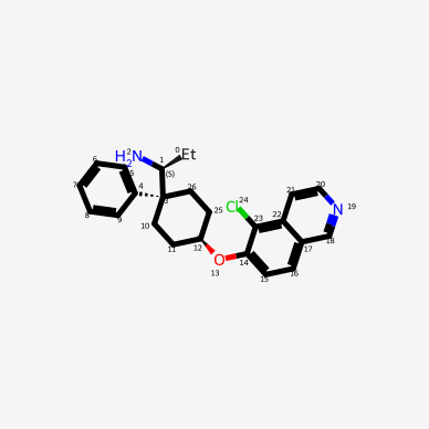 CC[C@H](N)[C@]1(c2ccccc2)CC[C@H](Oc2ccc3cnccc3c2Cl)CC1